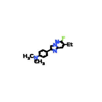 CCc1cc2nc(-c3ccc(N(C)C)cc3)cn2nc1F